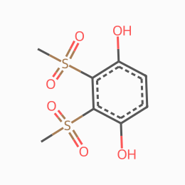 CS(=O)(=O)c1c(O)ccc(O)c1S(C)(=O)=O